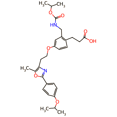 Cc1oc(-c2ccc(OC(C)C)cc2)nc1CCOc1ccc(CCC(=O)O)c(CNC(=O)OC(C)C)c1